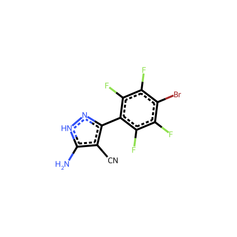 N#Cc1c(-c2c(F)c(F)c(Br)c(F)c2F)n[nH]c1N